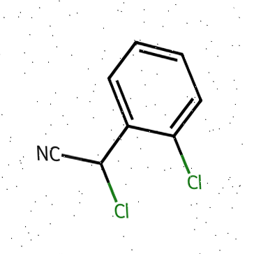 N#CC(Cl)c1ccccc1Cl